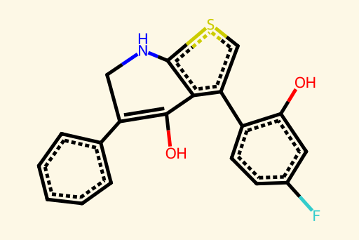 OC1=C(c2ccccc2)CNc2scc(-c3ccc(F)cc3O)c21